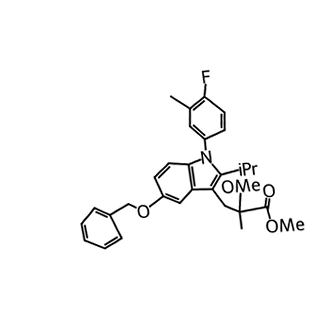 COC(=O)C(C)(Cc1c(C(C)C)n(-c2ccc(F)c(C)c2)c2ccc(OCc3ccccc3)cc12)OC